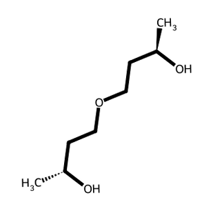 C[C@@H](O)CCOCC[C@@H](C)O